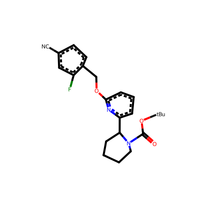 CC(C)(C)OC(=O)N1CCCCC1c1cccc(OCc2ccc(C#N)cc2F)n1